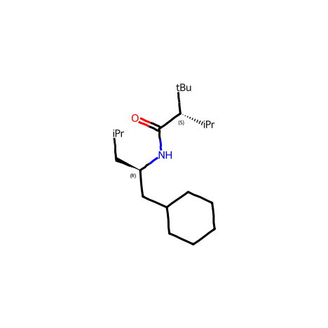 CC(C)C[C@H](CC1CCCCC1)NC(=O)[C@@H](C(C)C)C(C)(C)C